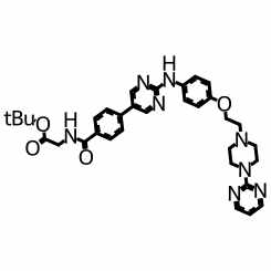 CC(C)(C)OC(=O)CNC(=O)c1ccc(-c2cnc(Nc3ccc(OCCN4CCN(c5ncccn5)CC4)cc3)nc2)cc1